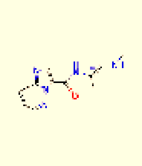 CN/C=C(\C)NC(=O)c1cnc2cccnn12